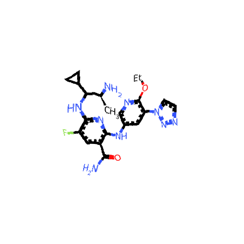 CCOc1ncc(Nc2nc(NC(C3CC3)[C@H](C)N)c(F)cc2C(N)=O)cc1-n1ccnn1